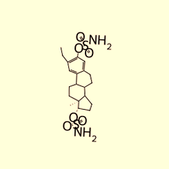 CCc1cc2c(cc1OS(N)(=O)=O)CCC1C2CC[C@@]2(C)C1CC[C@@H]2OS(N)(=O)=O